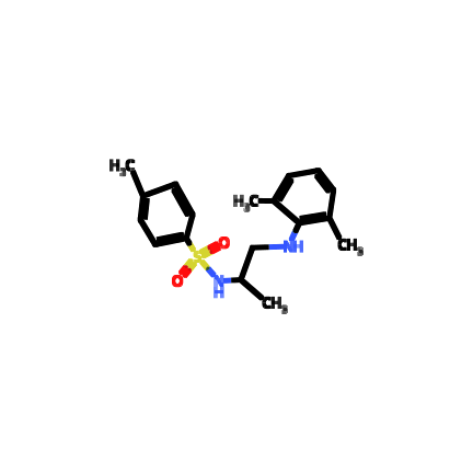 Cc1ccc(S(=O)(=O)NC(C)CNc2c(C)cccc2C)cc1